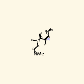 C=N/C=C(/C)C(=C)N(C)CCNC